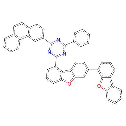 c1ccc(-c2nc(-c3ccc4ccc5ccccc5c4c3)nc(-c3cccc4oc5cc(-c6cccc7c6oc6ccccc67)ccc5c34)n2)cc1